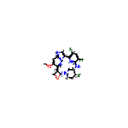 COc1cc2ncc(-c3nc(N[C@H]4CNCC[C@@H]4F)c(F)cc3F)n2nc1C1COC1